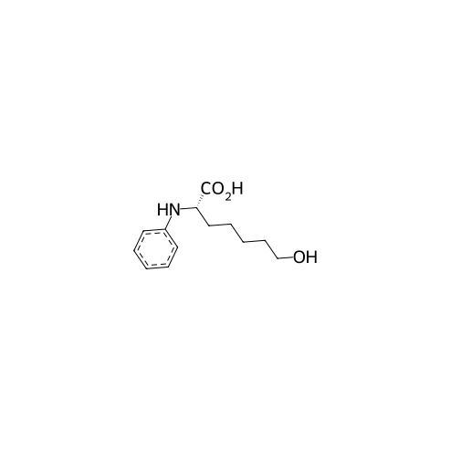 O=C(O)[C@H](CCCCCO)Nc1ccccc1